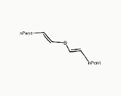 CCCCC/C=C/[B]/C=C/CCCCC